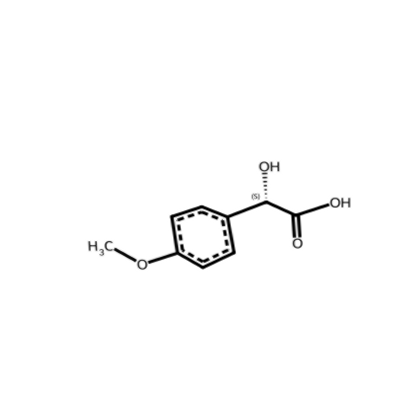 COc1ccc([C@H](O)C(=O)O)cc1